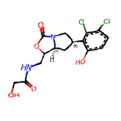 O=C(CO)NCC1OC(=O)N2C[C@@H](c3c(O)ccc(Cl)c3Cl)C[C@@H]12